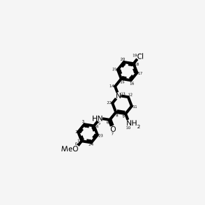 COc1ccc(NC(=O)C2=C(N)CCN(Cc3ccc(Cl)cc3)C2)cc1